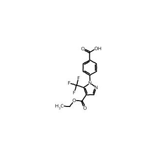 CCOC(=O)c1cnn(-c2ccc(C(=O)O)cc2)c1C(F)(F)F